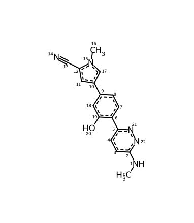 CNc1ccc(-c2ccc(-c3cc(C#N)n(C)c3)cc2O)nn1